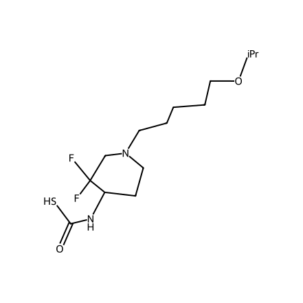 CC(C)OCCCCCN1CCC(NC(=O)S)C(F)(F)C1